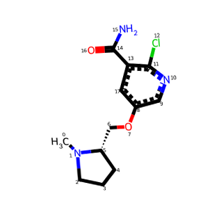 CN1CCC[C@H]1COc1cnc(Cl)c(C(N)=O)c1